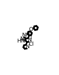 Nc1n[nH]c2c(-c3ccccn3)c(Cl)nc(-c3ccc(Oc4ccccc4)cc3)c12